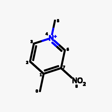 Cc1cc[n+](C)cc1[N+](=O)[O-]